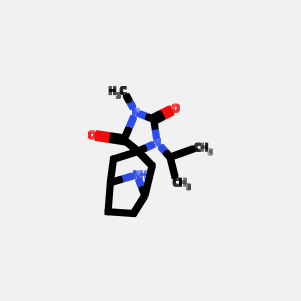 CC(C)N1C(=O)N(C)C(=O)C12CC1CCC(C2)N1